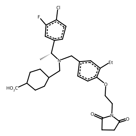 CCc1cc(CN(CC2CCC(C(=O)O)CC2)[C@H](C)c2ccc(Cl)c(F)c2)ccc1OCCN1C(=O)CCC1=O